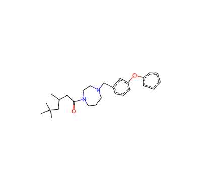 CC(CC(=O)N1CCCN(Cc2cccc(Oc3ccccc3)c2)CC1)CC(C)(C)C